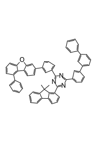 CC1(C)c2ccccc2-c2cccc(-c3nc(-c4cccc(-c5cccc(-c6ccccc6)c5)c4)nc(-c4cccc(-c5ccc6c(c5)oc5cccc(-c7ccccc7)c56)c4)n3)c21